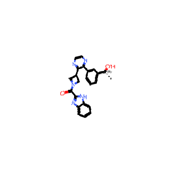 C[C@@H](O)c1cccc(-c2nccnc2C2CN(C(=O)c3nc4ccccc4[nH]3)C2)c1